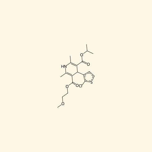 COCCOC(=O)C1=C(C)NC(C)=C(C(=O)OC(C)C)C1c1ccsc1Cl